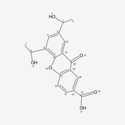 CC(O)c1cc(C(C)O)c2oc3ccc(C(=O)O)cc3c(=O)c2c1